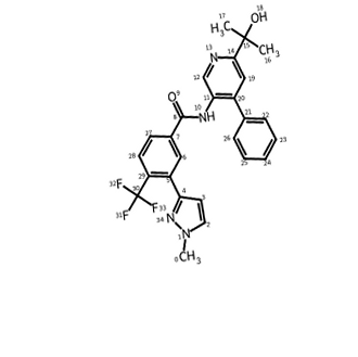 Cn1ccc(-c2cc(C(=O)Nc3cnc(C(C)(C)O)cc3-c3ccccc3)ccc2C(F)(F)F)n1